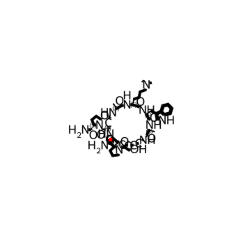 C[C@@H]1NC(=O)C[C@@H](C(=O)N2CCC[C@H]2C(N)=O)NC(=O)[C@H](C2(C(N)=O)CCCN2C(=O)CO)CCCCNC(=O)[C@H](C)NC(=O)[C@H](Cc2c[nH]c3ccccc23)NC(=O)[C@H](CCCCN(C)C)NC1=O